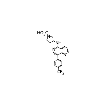 O=C(O)N1CCC(Nc2nnc(-c3ccc(C(F)(F)F)cc3)c3ncccc23)C1